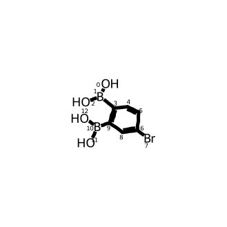 OB(O)c1ccc(Br)cc1B(O)O